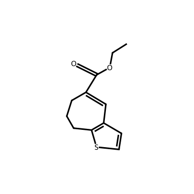 CCOC(=O)C1=Cc2ccsc2CCC1